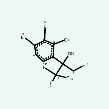 OC(CF)(c1ccc(Br)c(Cl)c1Cl)C(F)(F)F